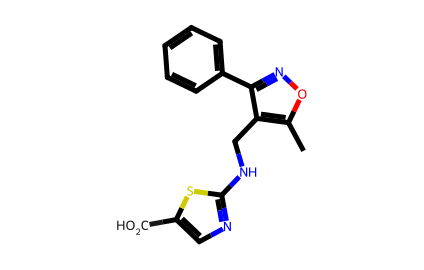 Cc1onc(-c2ccccc2)c1CNc1ncc(C(=O)O)s1